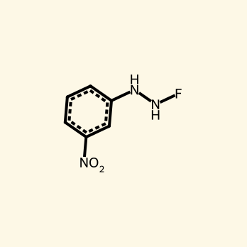 O=[N+]([O-])c1cccc(NNF)c1